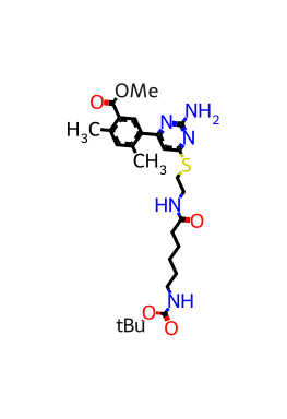 COC(=O)c1cc(-c2cc(SCCNC(=O)CCCCCNC(=O)OC(C)(C)C)nc(N)n2)c(C)cc1C